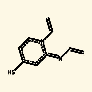 C=C/N=c1/cc(S)ccn1C=C